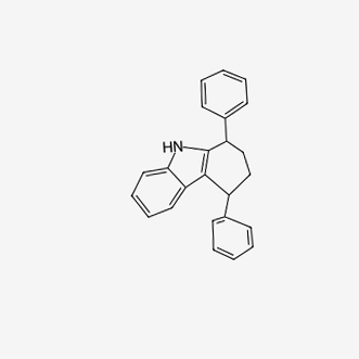 c1ccc(C2CCC(c3ccccc3)c3c2[nH]c2ccccc32)cc1